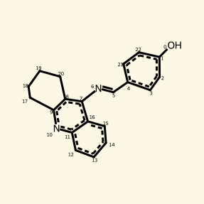 Oc1ccc(C=Nc2c3c(nc4ccccc24)CCCC3)cc1